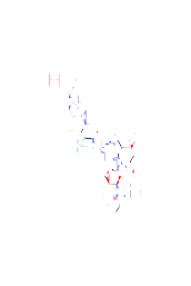 C=CC(=O)Nc1cccc(-n2c(CO)cc(=O)c3cnc(Nc4ccc(N5CCN(CCO)CC5)c(F)c4F)nc32)c1